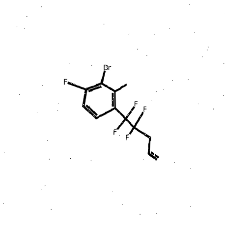 C=CCC(F)(F)C(F)(F)c1ccc(F)c(Br)c1C